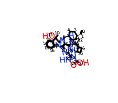 C=C[C@H]1CC[C@H](Cn2c(C(C)(O)c3ccccc3)nc3nc(C(=N)NC(=O)O)nc(N[C@H](C)C4CCC4)c32)CC1